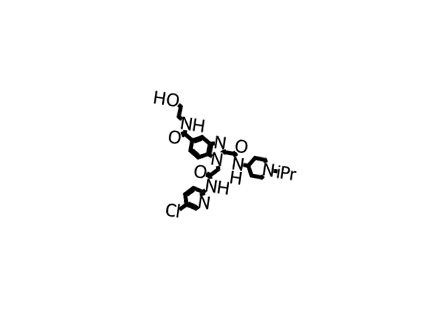 CC(C)N1CCC(NC(=O)c2nc3cc(C(=O)NCCO)ccc3n2CC(=O)Nc2ccc(Cl)cn2)CC1